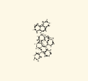 c1ccc(-c2c3ccccc3c(-c3cccc4sc5c(-c6cc7ccccc7c7ccccc67)cccc5c34)c3ccccc23)cc1